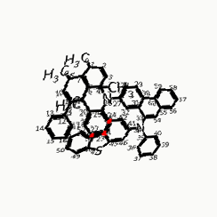 CC1C=CC2(C)C3=C1C(C)C=C(c1ccccc1)C3(C)c1ccccc1N2c1ccc2c(c1)c(N(c1ccccc1)c1ccc3c(c1)sc1ccccc13)cc1ccccc12